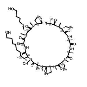 CC[C@@H]1NC(=O)[C@H]([C@H](O)[C@H](C)CCCCCCO)N(C)C(=O)[C@H](C(C)C)N(C)C(=O)[C@H](CC(C)C)N(C)C(=O)[C@H](CC(C)C)N(C)C(=O)[C@H](C)NC(=O)[C@@H](C)NC(=O)[C@@H](CC(C)C)N(C)C(=O)[C@@H](C(C)C)NC(=O)[C@H](CC(C)C)N(C)C(=O)[C@@H](CSCCCCO)N(C)C1=O